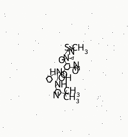 Cc1csc(CN(C(=O)c2cc(C(=O)N[C@@H](Cc3ccccc3)[C@H](O)CNCc3cncc(C(C)C)c3)cc(-c3ncco3)c2)C2CC2)n1